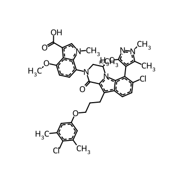 COc1ccc(N2C[C@@H](C)n3c(c(CCCOc4cc(C)c(Cl)c(C)c4)c4ccc(Cl)c(-c5c(C)nn(C)c5C)c43)C2=O)c2c1c(C(=O)O)cn2C